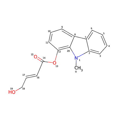 Cn1c2ccccc2c2cccc(OC(=O)C=CCO)c21